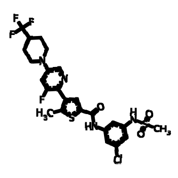 Cc1sc(C(=O)Nc2cc(Cl)cc(NS(C)(=O)=O)c2)cc1-c1ncc(N2CCC(C(F)(F)F)CC2)cc1F